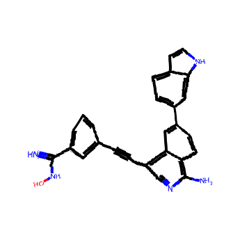 N=C(NO)c1cccc(C#Cc2cnc(N)c3ccc(-c4ccc5cc[nH]c5c4)cc23)c1